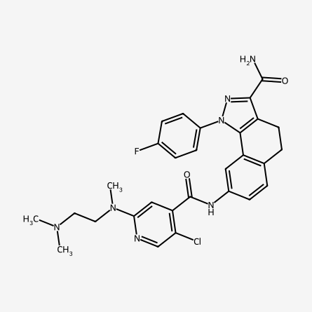 CN(C)CCN(C)c1cc(C(=O)Nc2ccc3c(c2)-c2c(c(C(N)=O)nn2-c2ccc(F)cc2)CC3)c(Cl)cn1